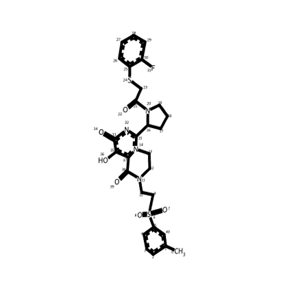 Cc1cccc(S(=O)(=O)CCN2CCn3c(C4CCCN4C(=O)CSc4ccccc4F)nc(=O)c(O)c3C2=O)c1